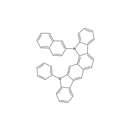 c1ccc(-n2c3ccccc3c3cc4ccc5c6ccccc6n(-c6ccc7ccccc7c6)c5c4cc32)cc1